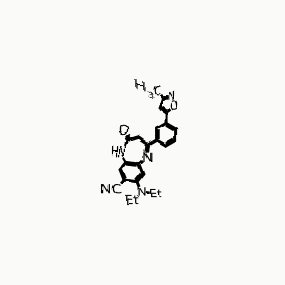 CCN(CC)c1cc2c(cc1C#N)NC(=O)CC(c1cccc(-c3cc(C)no3)c1)=N2